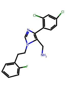 NCc1c(-c2ccc(Cl)cc2Cl)ncn1CCc1ccccc1F